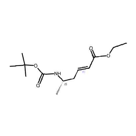 CCOC(=O)/C=C/C[C@H](C)NC(=O)OC(C)(C)C